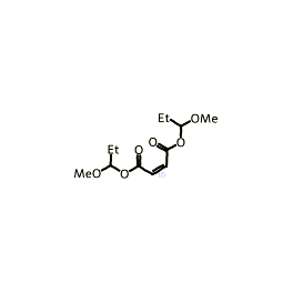 CCC(OC)OC(=O)/C=C\C(=O)OC(CC)OC